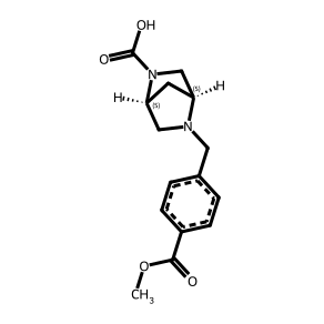 COC(=O)c1ccc(CN2C[C@@H]3C[C@H]2CN3C(=O)O)cc1